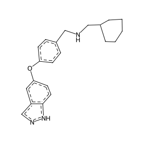 c1cc(Oc2ccc3[nH]ncc3c2)ccc1CNCC1CCCCC1